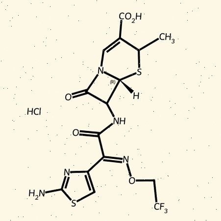 CC1S[C@@H]2C(NC(=O)C(=NOCC(F)(F)F)c3csc(N)n3)C(=O)N2C=C1C(=O)O.Cl